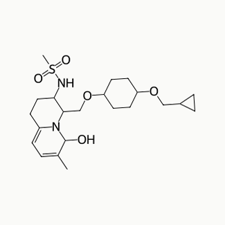 CC1=CC=C2CCC(NS(C)(=O)=O)C(COC3CCC(OCC4CC4)CC3)N2C1O